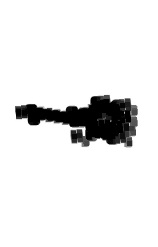 CCC(C)(C)CCCC(C)(C)COC1CC(OC(=O)CCCCCCCCC(=O)O)CCN1OCC(C)(C)CCCC(C)(C)CC